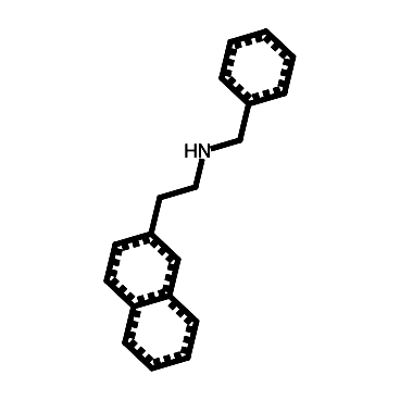 c1ccc(CNCCc2ccc3ccccc3c2)cc1